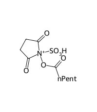 CCCCCC(=O)O[N+]1(S(=O)(=O)O)C(=O)CCC1=O